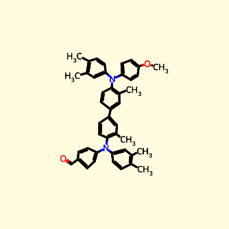 COc1ccc(N(c2ccc(C)c(C)c2)c2ccc(-c3ccc(N(c4ccc(C=O)cc4)c4ccc(C)c(C)c4)c(C)c3)cc2C)cc1